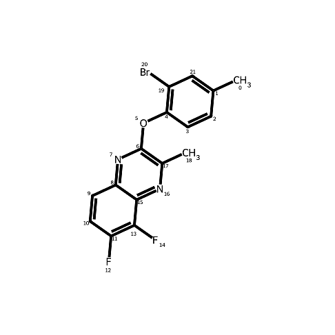 Cc1ccc(Oc2nc3ccc(F)c(F)c3nc2C)c(Br)c1